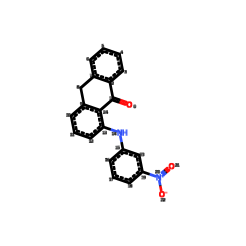 O=C1c2ccccc2Cc2cccc(Nc3cccc([N+](=O)[O-])c3)c21